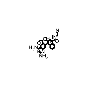 CC1COc2c1c(-c1ccc(C(=O)NCC#N)c3ccccc13)cc1nc(N)nc(N)c21